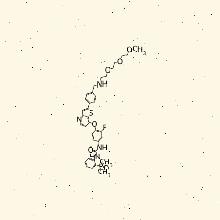 COCCOCCOCCNCc1ccc(-c2cc3nccc(Oc4ccc(NC(=O)Nc5ccccc5P(C)(C)=O)cc4F)c3s2)cc1